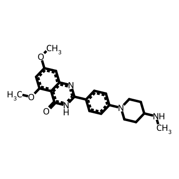 CNC1CCN(c2ccc(-c3nc4cc(OC)cc(OC)c4c(=O)[nH]3)cc2)CC1